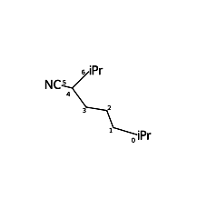 CC(C)CCCC(C#N)C(C)C